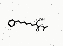 CC(C)OC(=O)C(CCCCCCc1ccccc1)=NO